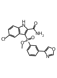 COP(=O)(c1cccc(-c2cocn2)c1)c1c(C(N)=O)[nH]c2ccc(Cl)cc12